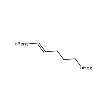 [CH2]CCCC/C=C/CCCCCCCCC